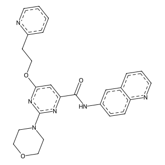 O=C(Nc1ccc2ncccc2c1)c1cc(OCCc2ccccn2)nc(N2CCOCC2)n1